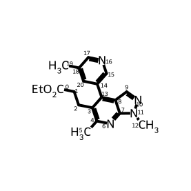 CCOC(=O)CCc1c(C)nc2c(cnn2C)c1-c1cncc(C)c1